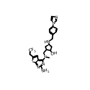 CN(CC1CC(NCc2ccc(-n3ccnc3)cc2)CC1O)c1nc(N)nc2sc(CC(F)(F)F)cc12